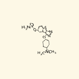 CN(C)[C@H]1CC[C@H](Oc2ncnc3sc4ccc(OC(N)=O)cc4c23)CC1